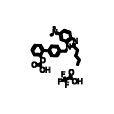 CCCCc1nc2ccc(N(C)C)cc2n1Cc1ccc(-c2ccccc2OC(=O)O)cc1.O=C(O)C(F)(F)F